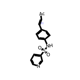 CC(=O)/C=C/c1ccc(NS(=O)(=O)c2cccnc2)cc1